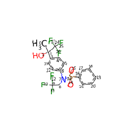 CC(O)(c1ccc(N(CC(F)(F)F)S(=O)(=O)c2ccccc2)cc1)C(F)(F)F